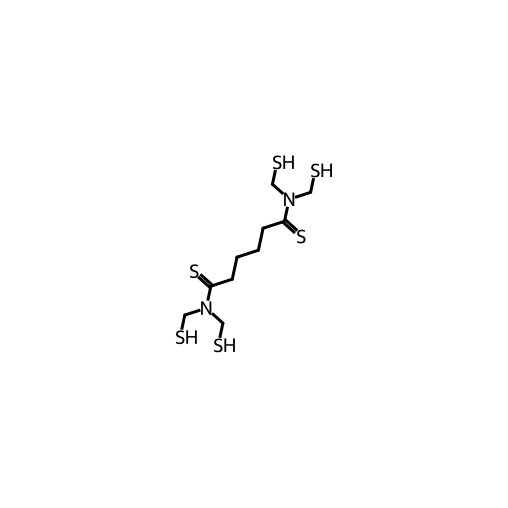 S=C(CCCCC(=S)N(CS)CS)N(CS)CS